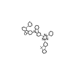 CC1(C)c2ccccc2-c2ccc(-c3nc(-c4ccccc4)nc(-c4ccc5c(c4)c4ccccc4n5-c4ccc5oc6cccc(-c7ccccc7)c6c5c4)n3)cc21